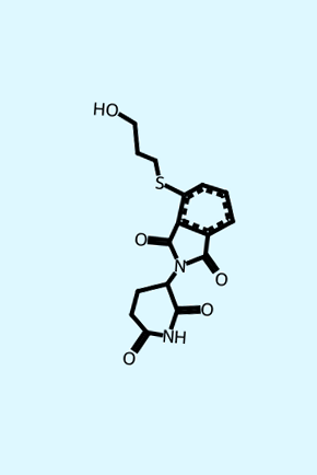 O=C1CCC(N2C(=O)c3cccc(SCCCO)c3C2=O)C(=O)N1